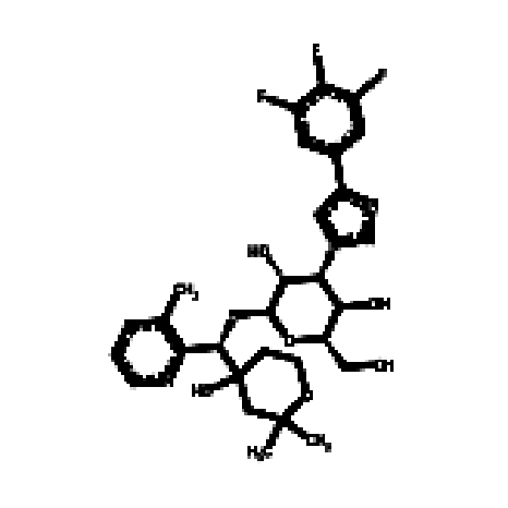 Cc1cccnc1[C@@H](S[C@@H]1O[C@H](CO)[C@H](O)[C@H](n2cc(-c3cc(F)c(F)c(F)c3)nn2)[C@H]1O)C1(O)CCOC(C)(C)C1